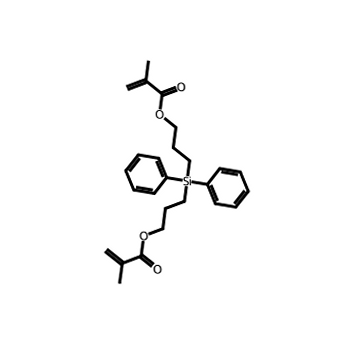 C=C(C)C(=O)OCCC[Si](CCCOC(=O)C(=C)C)(c1ccccc1)c1ccccc1